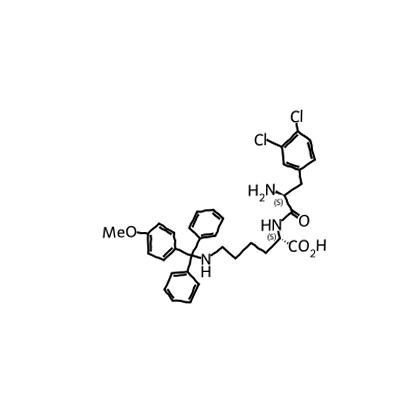 COc1ccc(C(NCCCC[C@H](NC(=O)[C@@H](N)Cc2ccc(Cl)c(Cl)c2)C(=O)O)(c2ccccc2)c2ccccc2)cc1